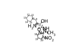 CN(NC(=O)C(O)[C@H](N)CC1CCCCC1)c1ncccc1[N+](=O)[O-]